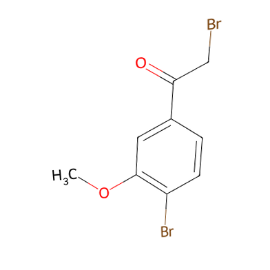 COc1cc(C(=O)CBr)ccc1Br